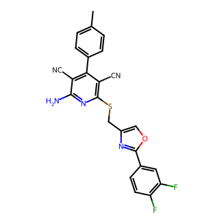 Cc1ccc(-c2c(C#N)c(N)nc(SCc3coc(-c4ccc(F)c(F)c4)n3)c2C#N)cc1